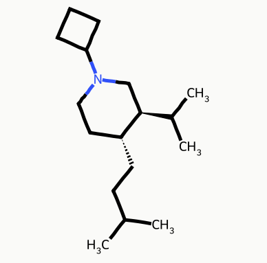 CC(C)CC[C@@H]1CCN(C2CCC2)C[C@H]1C(C)C